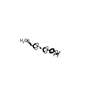 COCCC[C@H]1CO[C@H](CC[C@H]2CO[C@H](c3ccc(OC(F)(F)F)cc3)OC2)OC1